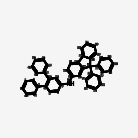 c1ccc(-c2ccc(Nc3ccc4c(c3)C(c3ccccc3)(c3ccccc3)c3ccccc3-4)cc2-c2ccccc2)cc1